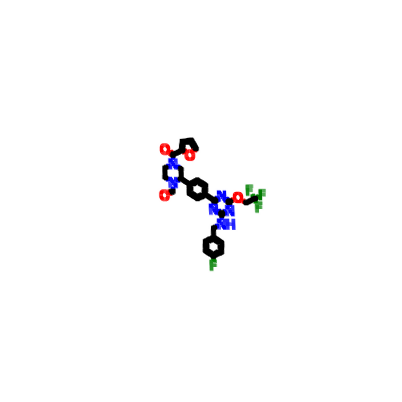 O=CN1CCN(C(=O)c2ccco2)CC1c1ccc(-c2nc(NCc3ccc(F)cc3)nc(OCC(F)(F)F)n2)cc1